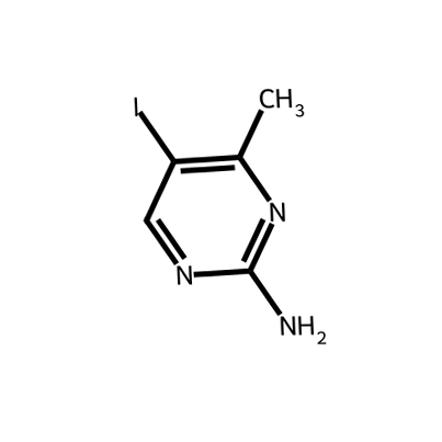 Cc1nc(N)ncc1I